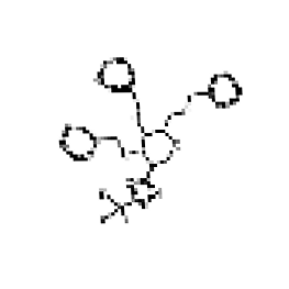 FC(F)(F)c1nnc([C@@H]2CO[C@H](COCc3ccccc3)[C@H](OCc3ccccc3)[C@@H]2OCc2ccccc2)o1